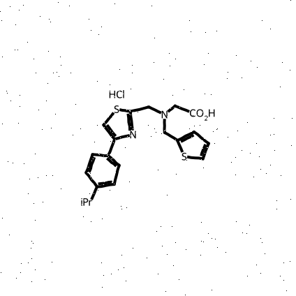 CC(C)c1ccc(-c2csc(CN(CC(=O)O)Cc3cccs3)n2)cc1.Cl